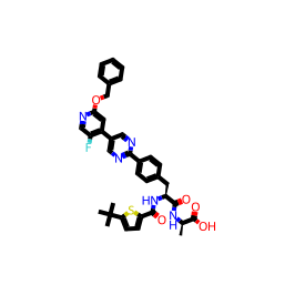 C[C@@H](NC(=O)[C@H](Cc1ccc(-c2ncc(-c3cc(OCc4ccccc4)ncc3F)cn2)cc1)NC(=O)c1ccc(C(C)(C)C)s1)C(=O)O